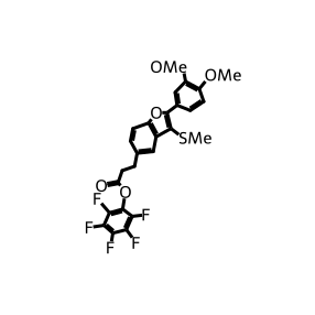 COc1ccc(-c2oc3ccc(CCC(=O)Oc4c(F)c(F)c(F)c(F)c4F)cc3c2SC)cc1OC